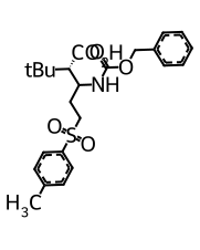 Cc1ccc(S(=O)(=O)CCC(NC(=O)OCc2ccccc2)[C@@H](C(=O)O)C(C)(C)C)cc1